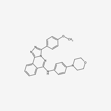 COc1ccc(-c2nnc3c4ccccc4c(Nc4ccc(N5CCOCC5)cc4)nn23)cc1